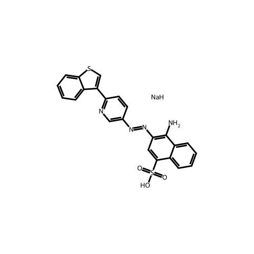 Nc1c(/N=N/c2ccc(-c3csc4ccccc34)nc2)cc(S(=O)(=O)O)c2ccccc12.[NaH]